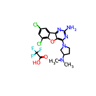 CN(C)C1CCN(c2nc(N)nc3c2oc2c(Cl)cc(Cl)cc23)C1.O=C(O)C(F)(F)F